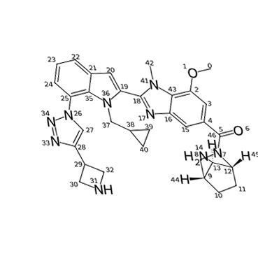 COc1cc(C(=O)N2C[C@H]3CC[C@@H]2[C@@H]3N)cc2nc(-c3cc4cccc(-n5cc(C6CNC6)nn5)c4n3CC3CC3)n(C)c12